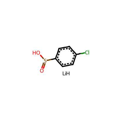 O=S(O)c1ccc(Cl)cc1.[LiH]